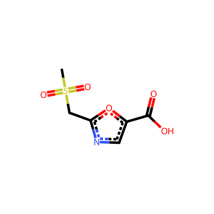 CS(=O)(=O)Cc1ncc(C(=O)O)o1